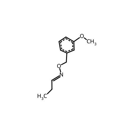 CCC=NOCc1cccc(OC)c1